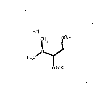 CCCCCCCCCCCC(CCCCCCCCCC)N(C)C.Cl